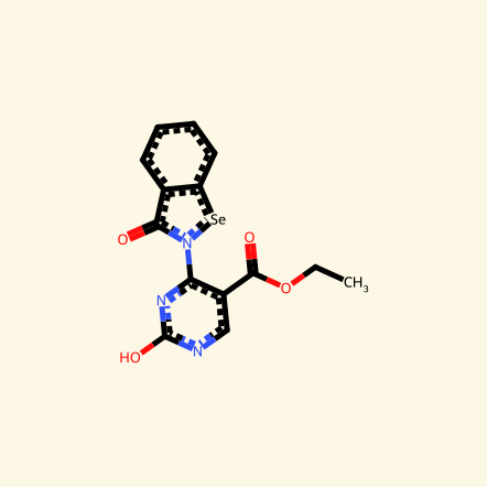 CCOC(=O)c1cnc(O)nc1-n1[se]c2ccccc2c1=O